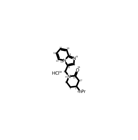 CCCC1CCN(Cc2cnc3ccccn23)C(=O)C1.Cl